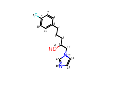 OC(CCCc1ccc(F)cc1)Cn1ccnc1